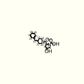 O=C([C@@H]1C[C@@H](O)CN1C(=O)O)N1CCC(Cc2ccccc2)CC1